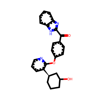 O=C(c1ccc(Oc2ncccc2[C@@H]2CCCC(O)C2)cc1)c1nc2ccccc2[nH]1